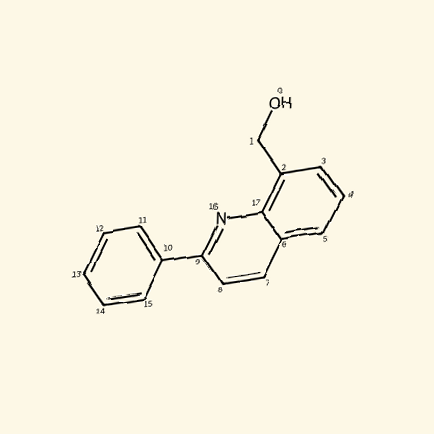 OCc1cccc2ccc(-c3ccccc3)nc12